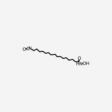 O=C=NCCCCCCCCCCCCCCCC(=O)NO